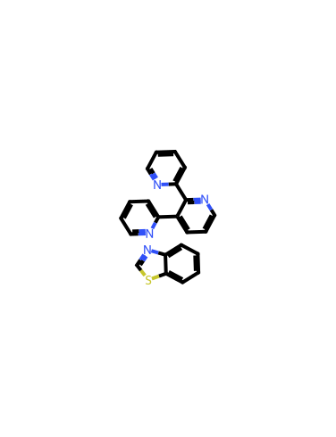 c1ccc(-c2cccnc2-c2ccccn2)nc1.c1ccc2scnc2c1